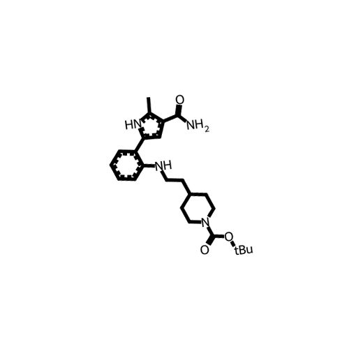 Cc1[nH]c(-c2ccccc2NCCC2CCN(C(=O)OC(C)(C)C)CC2)cc1C(N)=O